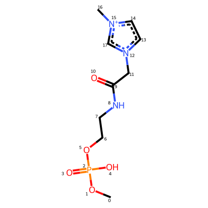 COP(=O)(O)OCCNC(=O)Cn1cc[n+](C)c1